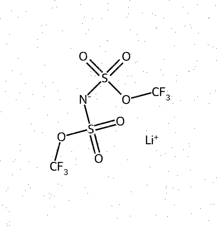 O=S(=O)([N-]S(=O)(=O)OC(F)(F)F)OC(F)(F)F.[Li+]